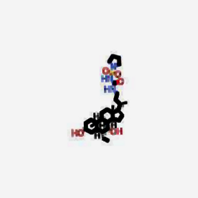 CC[C@H]1[C@@H](O)[C@@H]2[C@H](CC[C@]3(C)[C@@H]([C@H](C)CCNC(=O)NS(=O)(=O)N4CCCC4)CC[C@@H]23)[C@@]2(C)CC[C@@H](O)C[C@@H]12